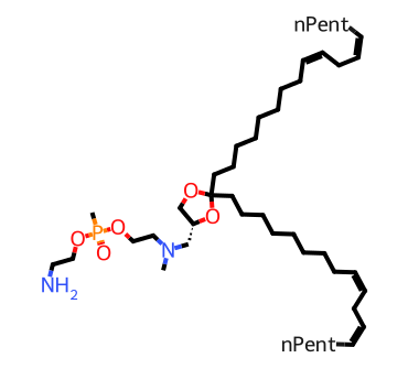 CCCCC/C=C\C/C=C\CCCCCCCCC1(CCCCCCCC/C=C\C/C=C\CCCCC)OC[C@@H](CN(C)CCOP(C)(=O)OCCN)O1